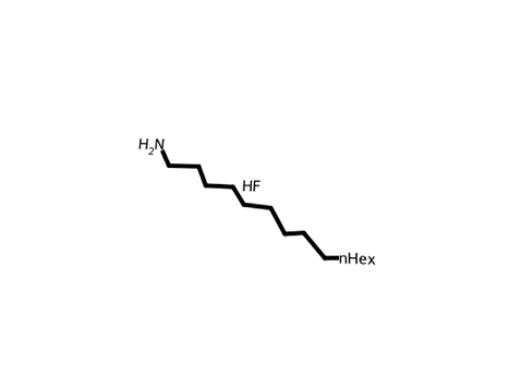 CCCCCCCCCCCCCCCN.F